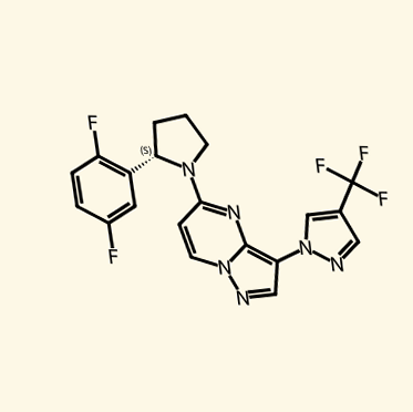 Fc1ccc(F)c([C@@H]2CCCN2c2ccn3ncc(-n4cc(C(F)(F)F)cn4)c3n2)c1